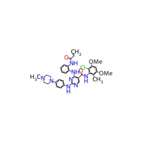 C=CC(=O)Nc1ccccc1Nc1nc(Nc2ccc(N3CCN(C)CC3)cc2)ncc1C(=O)Nc1c(C)c(OC)cc(OC)c1Cl